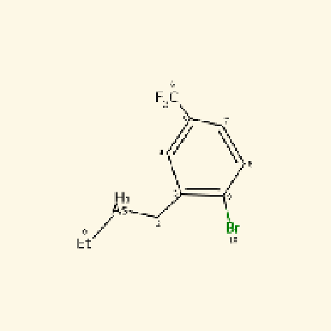 CC[AsH]Cc1cc(C(F)(F)F)ccc1Br